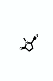 CN1C(=O)[CH]CC1C#N